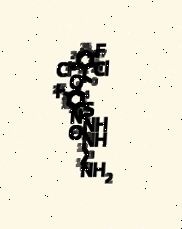 CC(Oc1cc2sc(NC(=O)NCCCN)nc2cc1F)c1c(Cl)ccc(F)c1Cl